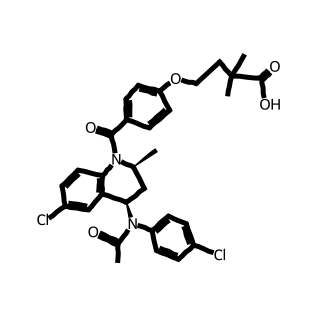 CC(=O)N(c1ccc(Cl)cc1)[C@@H]1C[C@H](C)N(C(=O)c2ccc(OCCC(C)(C)C(=O)O)cc2)c2ccc(Cl)cc21